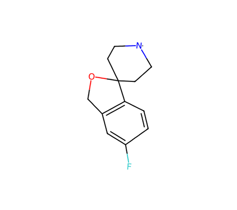 Fc1ccc2c(c1)COC21CC[N]CC1